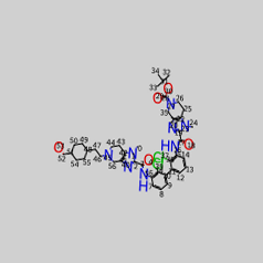 Cn1c(C(=O)Nc2cccc(-c3cccc(NC(=O)c4nc5c(n4C)CCN(C(=O)OC(C)(C)C)C5)c3Cl)c2Cl)nc2c1CCN(CCC1CCC(C=O)CC1)C2